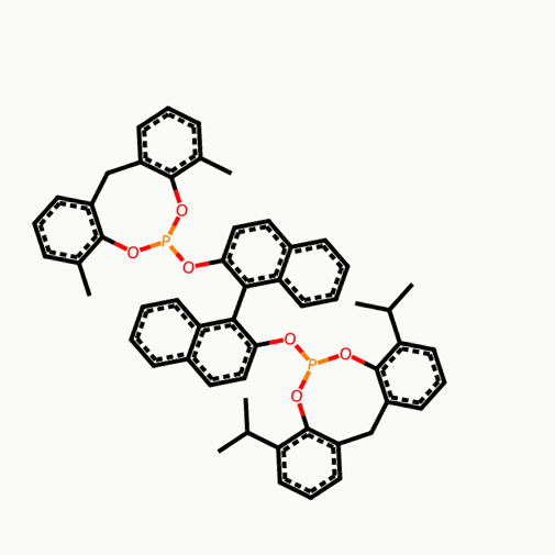 Cc1cccc2c1OP(Oc1ccc3ccccc3c1-c1c(OP3Oc4c(cccc4C(C)C)Cc4cccc(C(C)C)c4O3)ccc3ccccc13)Oc1c(C)cccc1C2